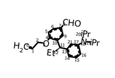 C=CCOc1ccc(C=O)cc1[C@H](CC)c1cccc(N(C(C)C)C(C)C)c1